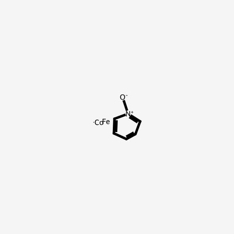 [Co].[Fe].[O-][n+]1ccccc1